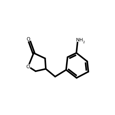 Nc1cccc(CC2COC(=O)C2)c1